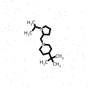 CC(C)N1CCCC1CN1CCC(C(C)(C)C)CC1